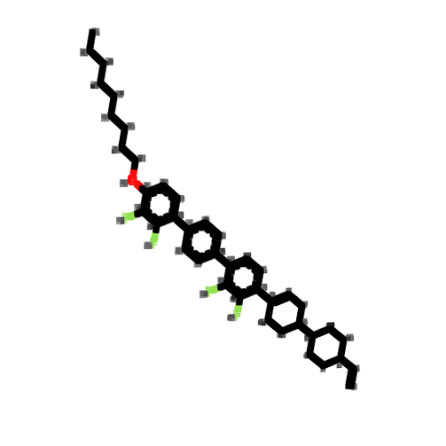 C=CC1CCC(C2CC=C(c3ccc(-c4ccc(-c5ccc(OCCCCCCCCC)c(F)c5F)cc4)c(F)c3F)CC2)CC1